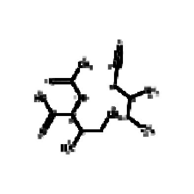 CCC(C)[C@H](NC(C)=O)C(=O)O.CCC(N)CC#N